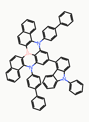 c1ccc(-c2ccc(N3c4cc(-c5cccc6c5c5ccccc5n6-c5ccccc5)cc5c4B(c4ccc6ccccc6c43)c3ccc4ccccc4c3N5c3ccc(-c4ccccc4)cc3)cc2)cc1